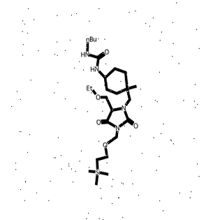 CCCCNC(=O)NC1CCC(C)(CN2C(=O)N(COCC[Si](C)(C)C)C(=O)C2COCC)CC1